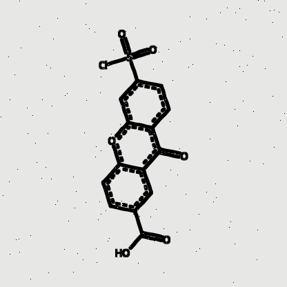 O=C(O)c1ccc2oc3cc(S(=O)(=O)Cl)ccc3c(=O)c2c1